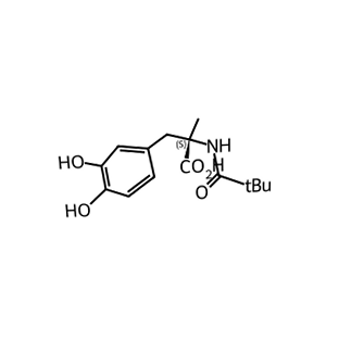 CC(C)(C)C(=O)N[C@@](C)(Cc1ccc(O)c(O)c1)C(=O)O